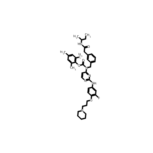 CCC(C)NC(=O)Cc1cccc(CN(C(=O)Oc2c(C)cc(C)cc2C)c2ccnc(Nc3ccc(OCCCN4CCCCC4)c(F)c3)n2)c1